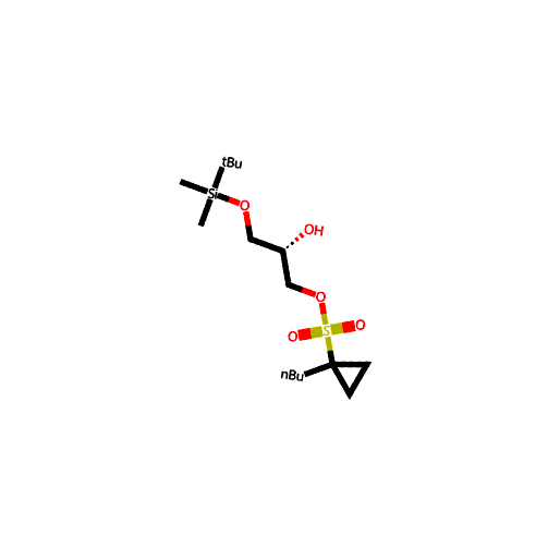 CCCCC1(S(=O)(=O)OC[C@@H](O)CO[Si](C)(C)C(C)(C)C)CC1